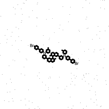 Cc1cccc(N(c2ccc(-c3ccc(Br)cc3)cc2)c2cccc(-c3ccc4ccc(C)c(-c5c(C)ccc6ccc(-c7cccc(N(c8ccc(-c9ccc(Br)cc9)cc8)c8cccc(C)c8)c7)cc56)c4c3)c2)c1